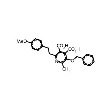 COc1ccc(CCc2nc(C)c(OCc3ccccc3)c(C(=O)O)c2C(=O)O)cc1